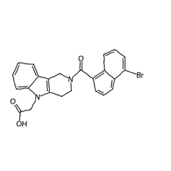 O=C(O)Cn1c2c(c3ccccc31)CN(C(=O)c1cccc3c(Br)cccc13)CC2